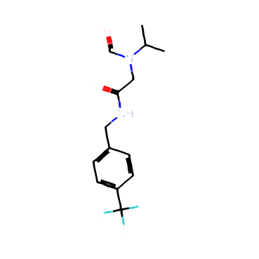 CC(C)N(C=O)CC(=O)NCc1ccc(C(F)(F)F)cc1